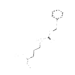 CCC[C@H](C)[C@H](C#N)CCCNC(=O)OCc1ccccc1